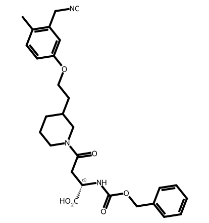 [C-]#[N+]Cc1cc(OCCC2CCCN(C(=O)C[C@H](NC(=O)OCc3ccccc3)C(=O)O)C2)ccc1C